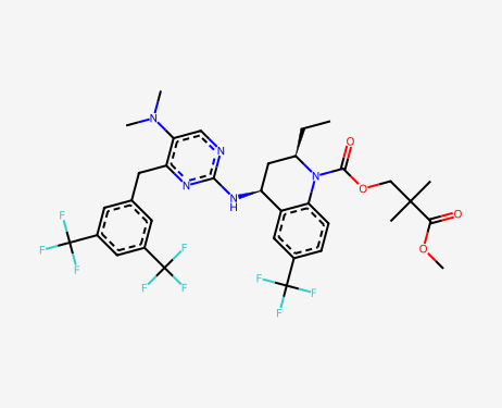 CC[C@@H]1C[C@H](Nc2ncc(N(C)C)c(Cc3cc(C(F)(F)F)cc(C(F)(F)F)c3)n2)c2cc(C(F)(F)F)ccc2N1C(=O)OCC(C)(C)C(=O)OC